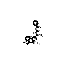 CC(NC(=O)NC(=O)c1ccccc1)[C@@H]1C[C@@H]2c3cccc4[nH]cc(c34)C[C@H]2N(C)C1